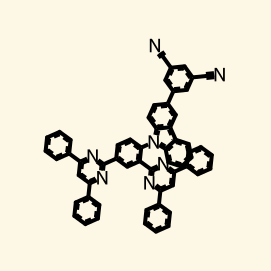 N#Cc1cc(C#N)cc(-c2ccc3c(c2)c2ccccc2n3-c2ccc(-c3nc(-c4ccccc4)cc(-c4ccccc4)n3)cc2-c2nc(-c3ccccc3)cc(-c3ccccc3)n2)c1